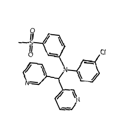 CS(=O)(=O)c1cccc(N(c2cccc(Cl)c2)C(c2cccnc2)c2cccnc2)c1